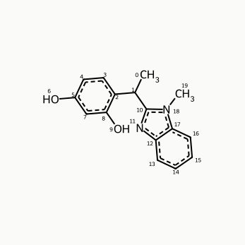 CC(c1ccc(O)cc1O)c1nc2ccccc2n1C